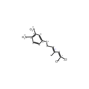 C/C(C=C(Cl)Cl)=C\CSc1ccc(N)c([N+](=O)[O-])c1